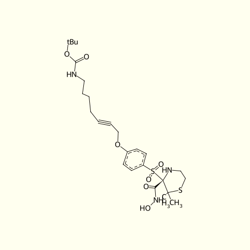 CC(C)(C)OC(=O)NCCCCC#CCOc1ccc(S(=O)(=O)[C@]2(C(=O)NO)NCCSC2(C)C)cc1